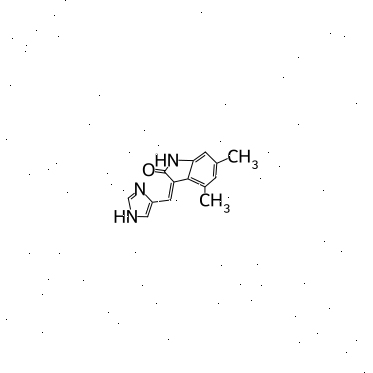 Cc1cc(C)c2c(c1)NC(=O)/C2=C\c1c[nH]cn1